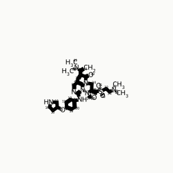 C=C(c1cc2cnc(Nc3ccc(OC4CCNC4)cc3)nc2n(Cc2ncoc2S(=O)(=O)CCN(C)C)c1=O)N(C)C